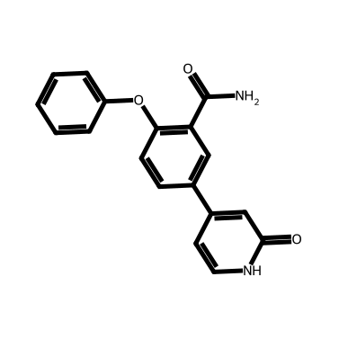 NC(=O)c1cc(-c2cc[nH]c(=O)c2)ccc1Oc1ccccc1